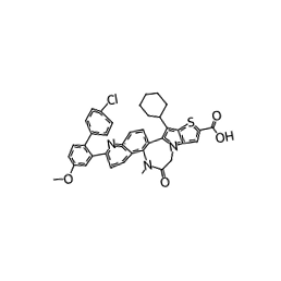 COc1ccc(-c2ccc(Cl)cc2)c(-c2ccc3c4c(ccc3n2)-c2c(C3CCCCC3)c3sc(C(=O)O)cc3n2CC(=O)N4C)c1